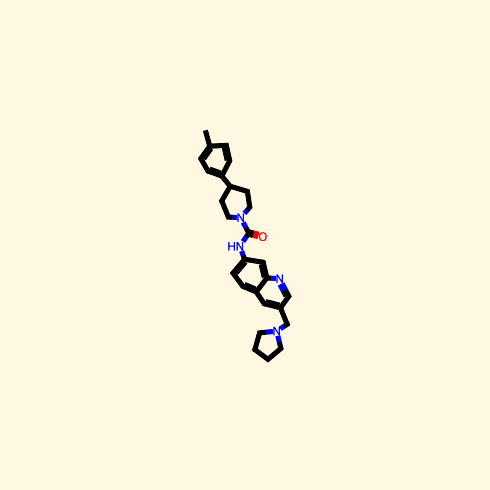 Cc1ccc(C2CCN(C(=O)Nc3ccc4cc(CN5CCCC5)cnc4c3)CC2)cc1